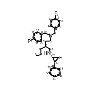 CCCC(CCN(Cc1ccc(F)cc1)Cc1ccc(F)cc1)CN[C@@H]1C[C@H]1c1ccccc1